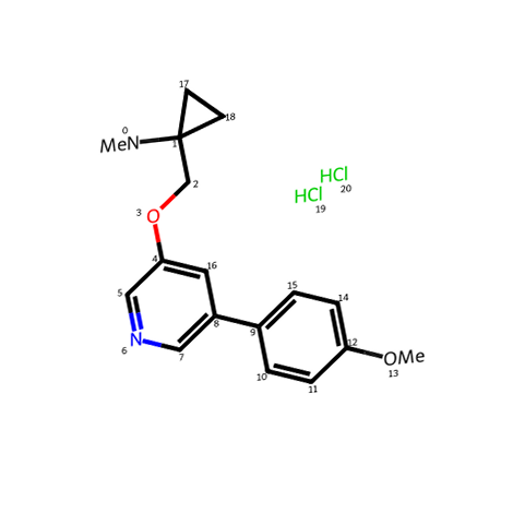 CNC1(COc2cncc(-c3ccc(OC)cc3)c2)CC1.Cl.Cl